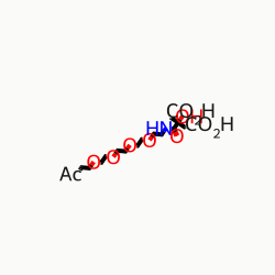 CC(=O)CCOCCOCCOCCOCCNC(=O)C(O)(CC(=O)O)CC(=O)O